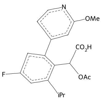 COc1cc(-c2cc(F)cc(C(C)C)c2C(OC(C)=O)C(=O)O)ccn1